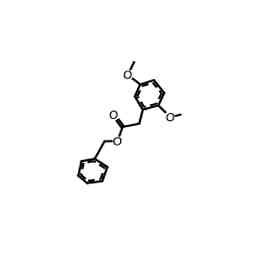 COc1ccc(OC)c(CC(=O)OCc2ccccc2)c1